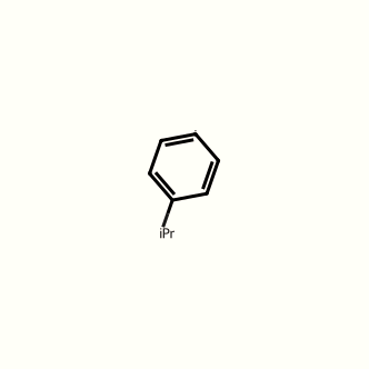 CC(C)c1cc[c]cc1